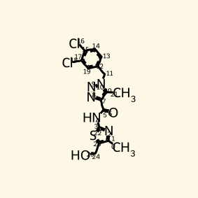 Cc1nc(NC(=O)c2nnn(Cc3ccc(Cl)c(Cl)c3)c2C)sc1CO